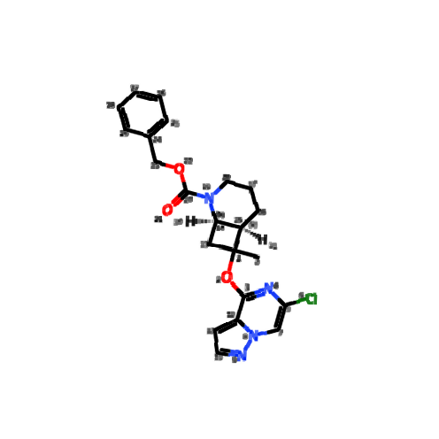 CC1(Oc2nc(Cl)cn3nccc23)C[C@@H]2[C@H]1CCCN2C(=O)OCc1ccccc1